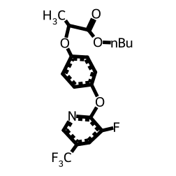 CCCCOC(=O)C(C)Oc1ccc(Oc2ncc(C(F)(F)F)cc2F)cc1